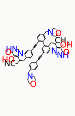 C=C(Cc1ccc(C#Cc2ccc(CN3CCOCC3)cc2)cc1-c1cc(CN2CCOCC2)ccc1C#Cc1ccc(CC(CC#N)c2nc[nH]c(=O)c2O)cc1)c1nc[nH]c(=O)c1O